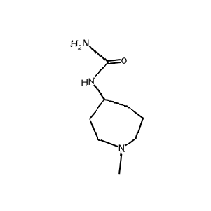 CN1CCCC(NC(N)=O)CC1